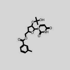 Cc1cccc(C(=O)OCC2CC(OC(C)(C)O)C(n3ccc(=O)[nH]c3=O)O2)c1